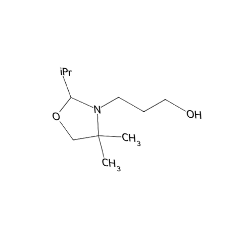 CC(C)C1OCC(C)(C)N1CCCO